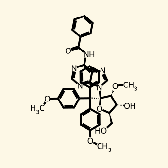 COc1ccc(C(c2ccccc2)(c2ccc(OC)cc2)[C@@]2(n3cnc4c(NC(=O)c5ccccc5)ncnc43)O[C@H](CO)[C@@H](O)[C@H]2OC)cc1